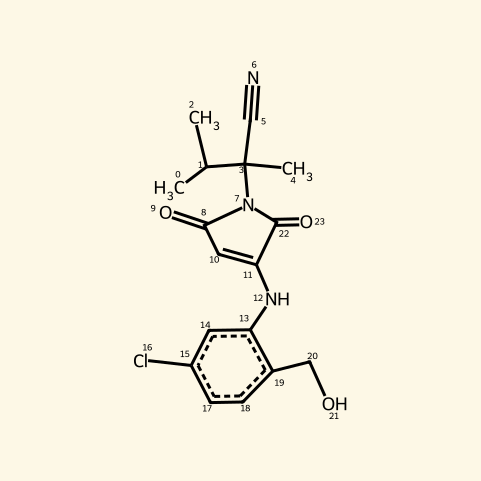 CC(C)C(C)(C#N)N1C(=O)C=C(Nc2cc(Cl)ccc2CO)C1=O